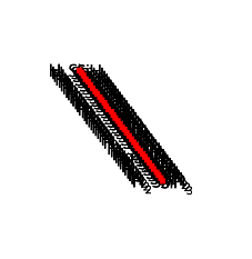 [SiH3][SiH2][SiH2][SiH2][SiH2][SiH2][SiH2][SiH2][SiH2][SiH2][SiH2][SiH2][SiH2][SiH2][SiH2][SiH2][SiH2][SiH2][SiH2][SiH2][SiH2][SiH2][SiH2][SiH2][SiH2][SiH2][SiH2][SiH2][SiH2][SiH2][SiH2][SiH2][SiH2][SiH2][SiH2][SiH2][SiH2][SiH2][SiH2][SiH2][SiH2][SiH2][SiH2][SiH2][SiH2][SiH2][SiH2][SiH2][SiH2][SiH2][SiH2][SiH2][SiH2][SiH2][SiH2][SiH2][SiH2][SiH2][SiH2][SiH2][SiH2][SiH2][SiH2][SiH2][SiH2][SiH2][SiH2][SiH2][SiH2][SiH2][SiH2][SiH2][SiH2][SiH2][SiH2][SiH3]